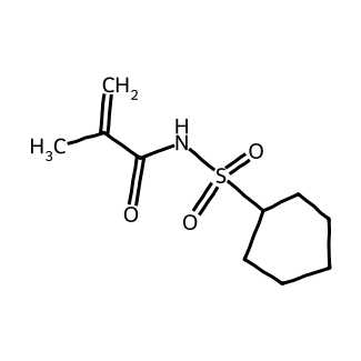 C=C(C)C(=O)NS(=O)(=O)C1CCCCC1